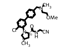 COCCN(C)Cc1ccc(-c2ccc(Cl)c(N3C[C@@H](C)C[C@H]3C(=O)NCC#N)c2)cc1